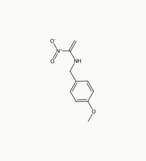 C=C(NCc1ccc(OC)cc1)[N+](=O)[O-]